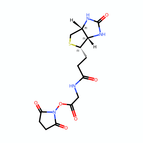 O=C(CC[C@@H]1SC[C@@H]2NC(=O)N[C@@H]21)NCC(=O)ON1C(=O)CCC1=O